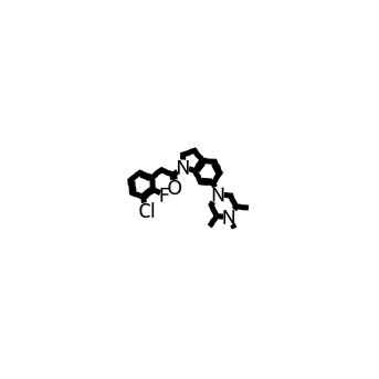 CC1CN(c2ccc3c(c2)N(C(=O)Cc2cccc(Cl)c2F)CC3)CC(C)N1C